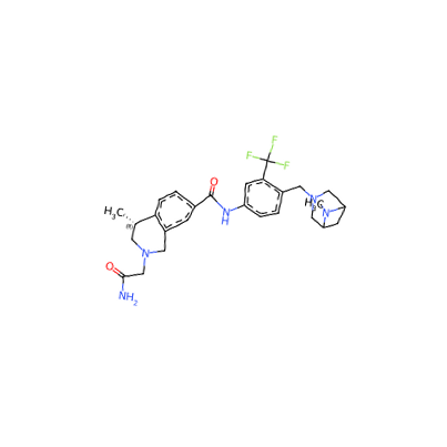 C[C@H]1CN(CC(N)=O)Cc2cc(C(=O)Nc3ccc(CN4CC5CC(C4)N5C)c(C(F)(F)F)c3)ccc21